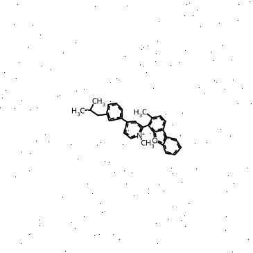 Cc1ccc2c(oc3ccccc32)c1-c1cc(-c2cccc(CC(C)C)c2)cc[n+]1C